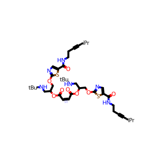 CC(C)C#CCCNC(=O)c1cnc(OCC(CNC(C)(C)C)OC(=O)/C=C\C(=O)OC(CNC(C)(C)C)COc2ncc(C(=O)NCCC#CC(C)C)s2)s1